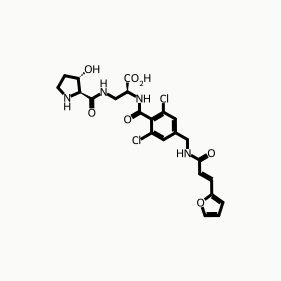 O=C(/C=C/c1ccco1)NCc1cc(Cl)c(C(=O)N[C@@H](CNC(=O)[C@H]2NCC[C@@H]2O)C(=O)O)c(Cl)c1